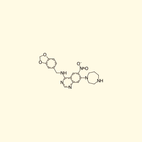 O=[N+]([O-])c1cc2c(NCc3ccc4c(c3)OCO4)ncnc2cc1N1CCCNCC1